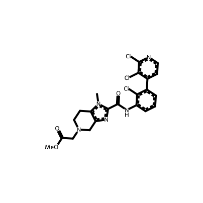 COC(=O)CN1CCc2c(nc(C(=O)Nc3cccc(-c4ccnc(Cl)c4Cl)c3Cl)n2C)C1